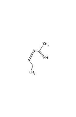 CC/N=N\C(C)=N